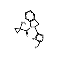 CCCc1cnc(C2Cc3ccccc3N2C(=O)C2(N)CC2)[nH]1